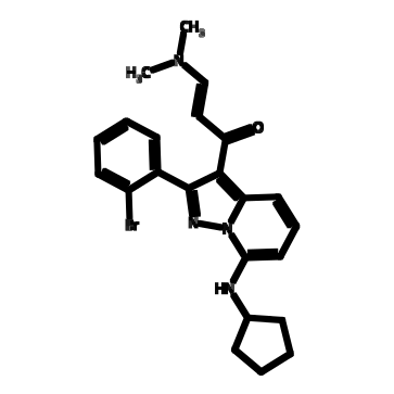 CN(C)C=CC(=O)c1c(-c2ccccc2Br)nn2c(NC3CCCC3)cccc12